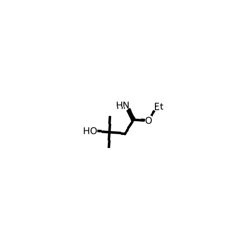 CCOC(=N)CC(C)(C)O